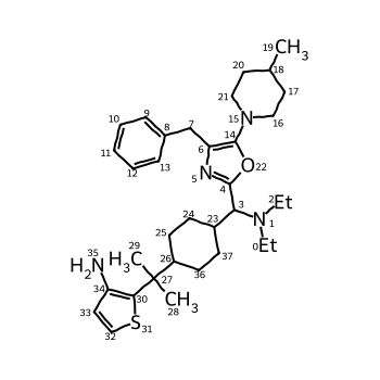 CCN(CC)C(c1nc(Cc2ccccc2)c(N2CCC(C)CC2)o1)C1CCC(C(C)(C)c2sccc2N)CC1